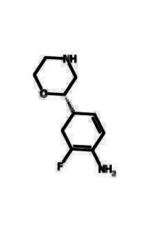 NC1=C(F)CC([C@H]2CNCCO2)C=C1